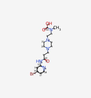 CN(CCN1CCN(CCC(=O)Nc2cc(Br)ccn2)CC1)C(=O)O